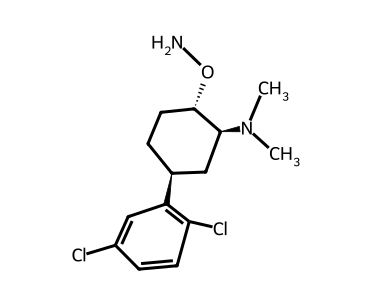 CN(C)[C@H]1C[C@@H](c2cc(Cl)ccc2Cl)CC[C@@H]1ON